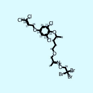 CC(COCCCC(C)Oc1c(Cl)cc(OCC=C(Cl)Cl)cc1Cl)=NOCC(Br)(Br)Br